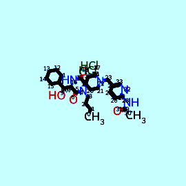 CCCCN1C(=O)[C@@H]([C@H](O)C2CCCCC2)NC(=O)C12CCN(Cc1ccc(NC(C)=O)nc1)CC2.Cl.Cl